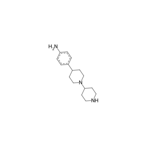 Nc1ccc(C2CCN(C3CCNCC3)CC2)cc1